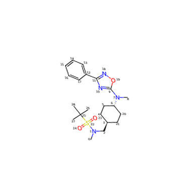 CN(C[C@H]1CC[C@H](N(C)c2nc(-c3ccccc3)no2)CC1)S(=O)(=O)C(C)(C)C